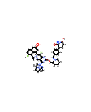 C#Cc1c(F)ccc2cc(O)cc(-c3ncc4c(N5C[C@H]6CC[C@@H](C5)N6)nc(OC[C@@H]5CCCCN5Cc5ccc(C6CCC(=O)NC6=O)cc5)nc4c3F)c12